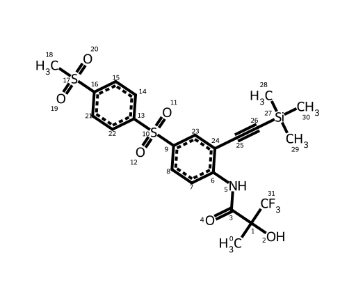 CC(O)(C(=O)Nc1ccc(S(=O)(=O)c2ccc(S(C)(=O)=O)cc2)cc1C#C[Si](C)(C)C)C(F)(F)F